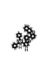 C1=C(C2=NC(c3ccccc3)=NC(c3ccccc3)N2)c2c(oc3c(-c4cccc5oc6cc7ccccc7cc6c45)cccc23)CN1